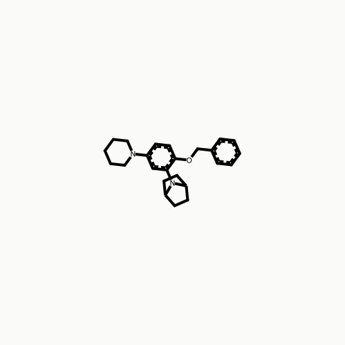 c1ccc(COc2ccc(N3CCCCC3)cc2N2C3CCC2CC3)cc1